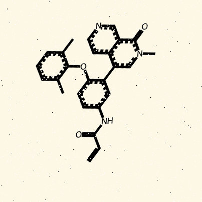 C=CC(=O)Nc1ccc(Oc2c(C)cccc2C)c(-c2cn(C)c(=O)c3cnccc23)c1